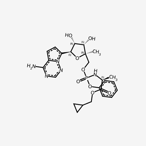 C[C@H](NP(=O)(OC[C@@]1(C)O[C@@H](c2ccc3c(N)ncnn23)[C@H](O)[C@@H]1O)Oc1ccccc1)C(=O)OCC1CC1